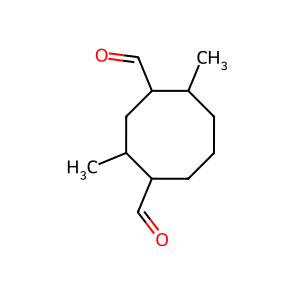 CC1CC(C=O)C(C)CCCC1C=O